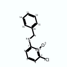 [O-][n+]1c(Cl)cccc1SCc1ccccc1